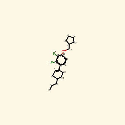 CCCC1CC=C(c2ccc(OCC3CCCC3)c(F)c2F)CC1